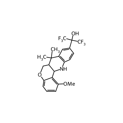 COc1cccc2c1C1Nc3ccc(C(O)(C(F)(F)F)C(F)(F)F)cc3C(C)(C)C1CO2